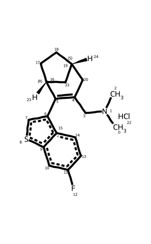 CN(C)CC1=C(c2csc3cc(F)ccc23)[C@@H]2CC[C@H](C1)C2.Cl